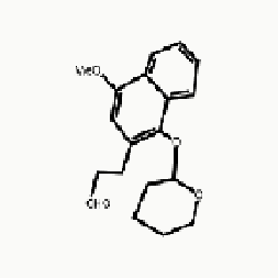 COc1cc(CCC=O)c(OC2CCCCO2)c2ccccc12